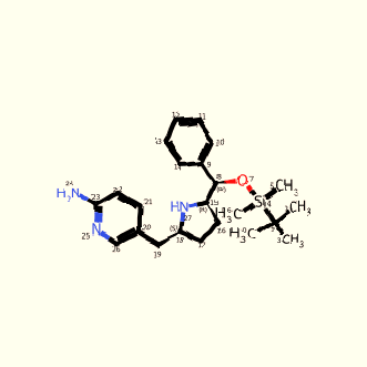 CC(C)(C)[Si](C)(C)O[C@H](c1ccccc1)[C@H]1CC[C@@H](Cc2ccc(N)nc2)N1